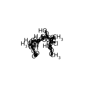 COCCOc1ccc2[nH]c(C(=O)N3CC(CCl)c4c3cc(OC(=O)N(CCOCCO)CCN(C)C(=O)OCc3ccc(NC(=O)[C@H](C)NC(=O)[C@H](NC(=O)OCCOCCN5C(=O)C=CC5=O)C(C)C)cc3)c3oc(C)nc43)cc2c1